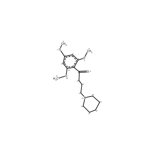 COc1cc(OC)c(C(=O)CCCN2CCCCC2)c(OC)c1